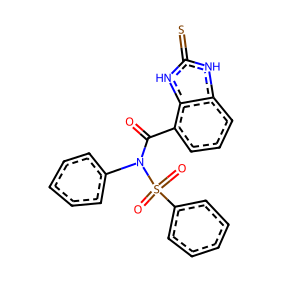 O=C(c1cccc2[nH]c(=S)[nH]c12)N(c1ccccc1)S(=O)(=O)c1ccccc1